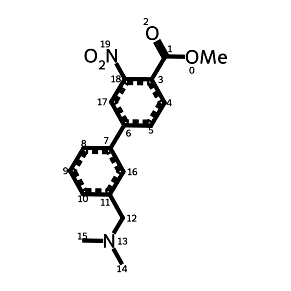 COC(=O)c1ccc(-c2cccc(CN(C)C)c2)cc1[N+](=O)[O-]